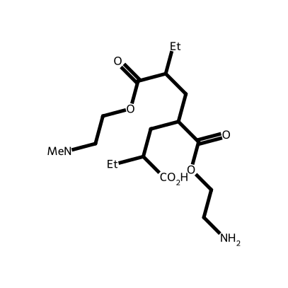 CCC(CC(CC(CC)C(=O)OCCNC)C(=O)OCCN)C(=O)O